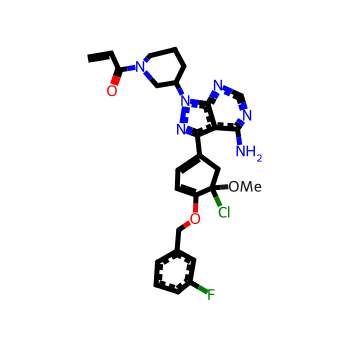 C=CC(=O)N1CCCC(n2nc(C3=CC=C(OCc4cccc(F)c4)C(Cl)(OC)C3)c3c(N)ncnc32)C1